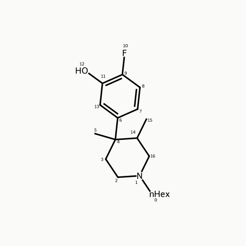 CCCCCCN1CCC(C)(c2ccc(F)c(O)c2)C(C)C1